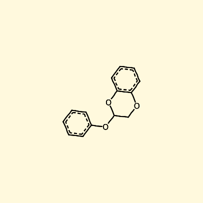 c1ccc(OC2COc3ccccc3O2)cc1